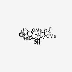 COc1nc(NS(=O)(=O)c2c[nH]c3c(-n4nccn4)c(Cl)ccc23)nc(OC)c1OC(F)F